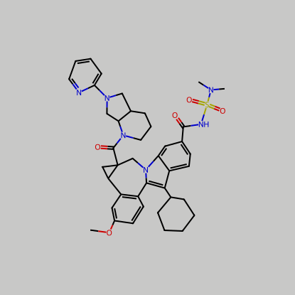 COc1ccc2c(c1)C1CC1(C(=O)N1CCCC3CN(c4ccccn4)CC31)Cn1c-2c(C2CCCCC2)c2ccc(C(=O)NS(=O)(=O)N(C)C)cc21